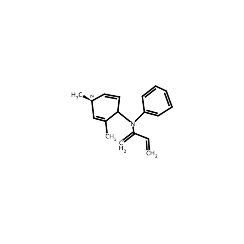 C=CC(=C)N(c1ccccc1)C1C=C[C@H](C)C=C1C